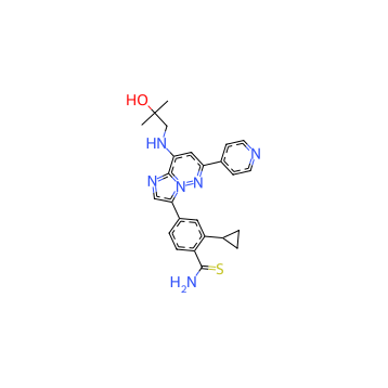 CC(C)(O)CNc1cc(-c2ccncc2)nn2c(-c3ccc(C(N)=S)c(C4CC4)c3)cnc12